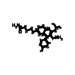 Cc1ccc(-c2c(CN)c(CC(C)C)nc3ccc(CCCCC(N)=O)cc23)cc1